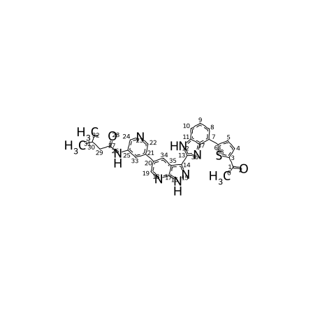 CC(=O)c1ccc(-c2cccc3[nH]c(-c4n[nH]c5ncc(-c6cncc(NC(=O)CC(C)C)c6)cc45)nc23)s1